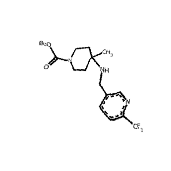 CC(C)COC(=O)N1CCC(C)(NCc2ccc(C(F)(F)F)nc2)CC1